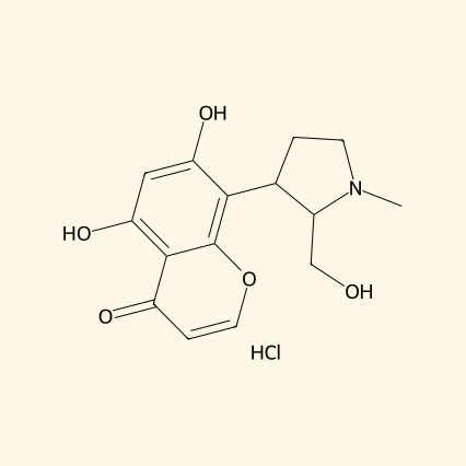 CN1CCC(c2c(O)cc(O)c3c(=O)ccoc23)C1CO.Cl